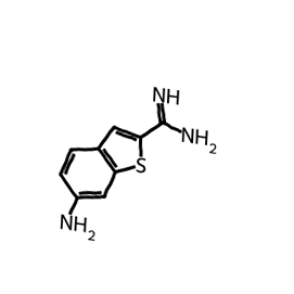 N=C(N)c1cc2ccc(N)cc2s1